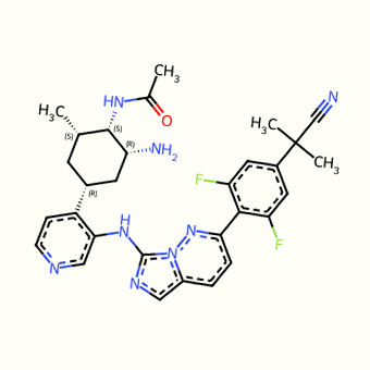 CC(=O)N[C@@H]1[C@H](N)C[C@H](c2ccncc2Nc2ncc3ccc(-c4c(F)cc(C(C)(C)C#N)cc4F)nn23)C[C@@H]1C